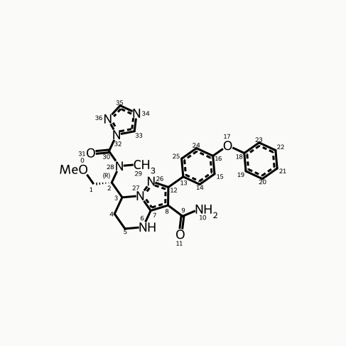 COC[C@@H](C1CCNc2c(C(N)=O)c(-c3ccc(Oc4ccccc4)cc3)nn21)N(C)C(=O)n1cncn1